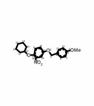 COc1ccc(COc2ccc(OC3CCCCC3)c([N+](=O)[O-])c2)cc1